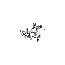 CC[C@@](C)(NC(=O)c1cc(Cl)c(N)cc1OC(F)F)C(=O)O